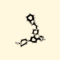 CN1CCN(c2ccc(-c3nn[nH]n3)c(N3CCN(Cc4nc5ccccc5s4)CC3)c2)CC1